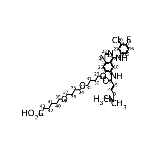 CN(C)C/C=C/C(=O)Nc1cc2c(Nc3ccc(F)c(Cl)c3)ncnc2cc1OCCCCOCCCCOCCCCCC(=O)O